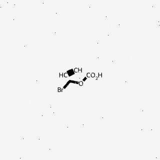 C#C.O=C(O)OCBr